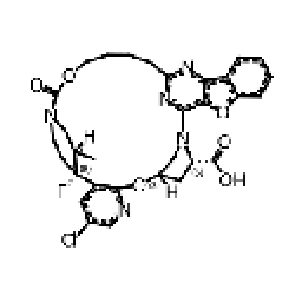 C[C@H]1CN2CC[C@]1(F)c1cc(Cl)cnc1O[C@H]1C[C@@H](C(=O)O)N(C1)c1nc(nc3c1oc1ccccc13)CCCCOC2=O